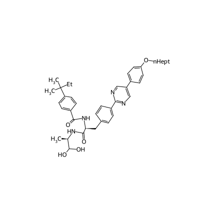 CCCCCCCOc1ccc(-c2cnc(-c3ccc(C[C@H](NC(=O)c4ccc(C(C)(C)CC)cc4)C(=O)N[C@H](C)C(O)O)cc3)nc2)cc1